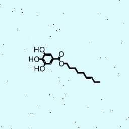 CCC=CCCCCCOC(=O)c1cc(O)c(O)c(O)c1